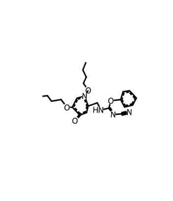 CCCCOc1cn(OCCCC)c(CNC(=NC#N)Oc2ccccc2)cc1=O